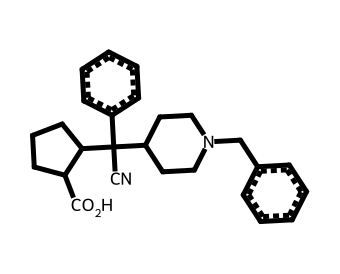 N#CC(c1ccccc1)(C1CCN(Cc2ccccc2)CC1)C1CCCC1C(=O)O